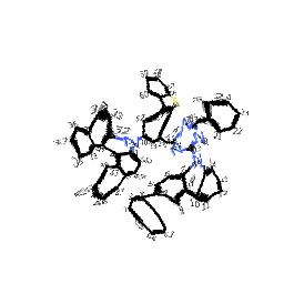 c1ccc(-c2ccc3c(c2)c2ccccc2n3-c2nc(-c3ccccc3)nc(-c3cc(-n4c5ccc6ccccc6c5c5c6ccccc6ccc54)cc4c3sc3ccccc34)n2)cc1